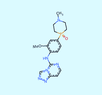 COc1cc(P2(=O)CCN(C)CC2)ccc1Nc1nccc2nncn12